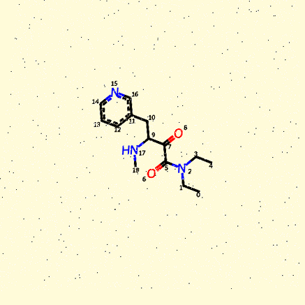 CCN(CC)C(=O)C(=O)C(Cc1cccnc1)NC